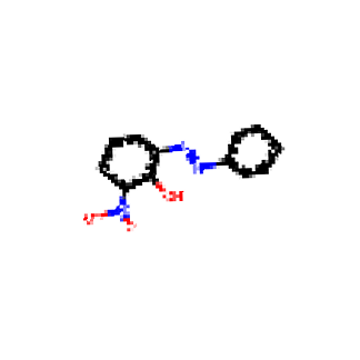 O=[N+]([O-])c1cccc(N=Nc2ccccc2)c1O